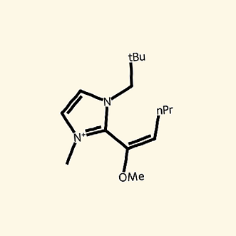 CCC/C=C(/OC)c1n(CC(C)(C)C)cc[n+]1C